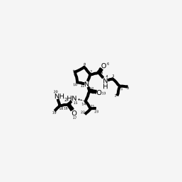 CC(C)CNC(=O)C1CCCN1C(=O)[C@@H](NC(=O)C(C)N)C(C)C